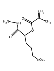 C=C(C)C(=O)OC(CCCCCCCCCCC)C(=O)NN